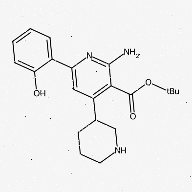 CC(C)(C)OC(=O)c1c(C2CCCNC2)cc(-c2ccccc2O)nc1N